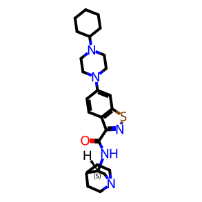 O=C(N[C@@H]1CN2CCC1CC2)c1nsc2cc(N3CCN(C4CCCCC4)CC3)ccc12